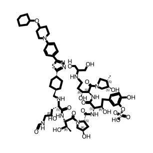 C[C@@H](O)[C@H](NC(=O)[C@H](C[C@@H](O)CNC=O)NC[C@H]1CC[C@H](c2nnc(-c3ccc(N4CCC(OC5CCCCC5)CC4)cc3)s2)CC1)C(=O)N1C[C@H](O)C[C@H]1C(=O)N[C@H](C(=O)N[C@H](C(=O)N1C[C@@H](O)[C@@H](C)C1)[C@H](O)CCNC(CO)CO)[C@H](O)Cc1ccc(O)c(OS(=O)(=O)O)c1